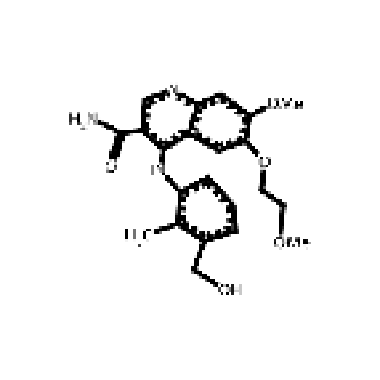 COCCOc1cc2c(Nc3cccc(CO)c3C)c(C(N)=O)cnc2cc1OC